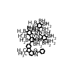 Bc1c(B)c(B)c(-c2nc(-c3c(B)c(B)c(B)c(B)c3B)nc(-n3c4c(B)c(B)c(B)c(B)c4c4c(B)c(-c5ccc6c(c5)-c5c(ccc7nc(-c8ccccc8)oc57)C6(C)C)c(B)c(B)c43)n2)c(B)c1B